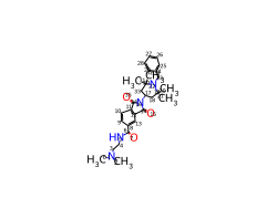 CN(C)CCNC(=O)c1ccc2c(c1)C(=O)N(C1CC(C)(C)N(Cc3ccccc3)C(C)(C)C1)C2=O